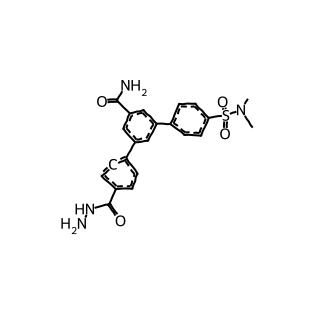 CN(C)S(=O)(=O)c1ccc(-c2cc(C(N)=O)cc(-c3ccc(C(=O)NN)cc3)c2)cc1